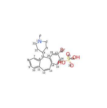 CN1CCC(C2c3ccccc3C=Cc3ccc(Br)cc32)CC1.O=S(=O)(O)O